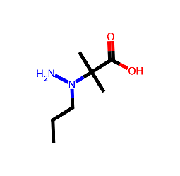 CCCN(N)C(C)(C)C(=O)O